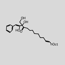 CCCCCCCCC=CCCCCCCCC(=O)C(O)(CO)C(O)=Cc1ccccc1